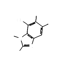 CCn1c(C)nc2cc(C(F)(F)F)c(Cl)c(N)c21